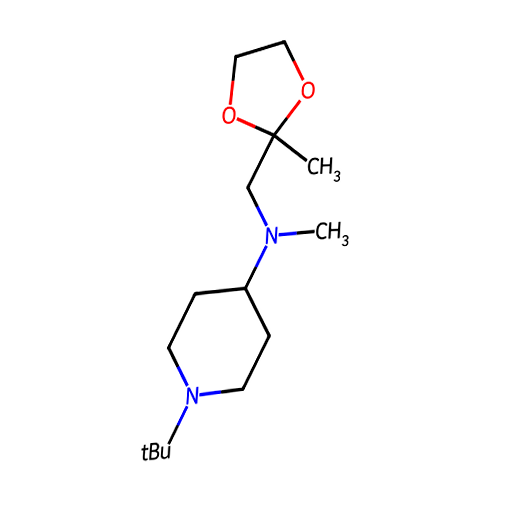 CN(CC1(C)OCCO1)C1CCN(C(C)(C)C)CC1